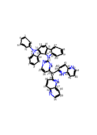 c1ccc(-n2c3ccccc3c3c2ccc2c4ccccc4n(-c4nccc(B(c5ccc6ncccc6n5)c5ccc6ncccc6n5)n4)c23)cc1